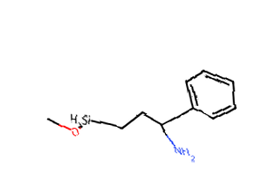 CO[SiH2]CCC(N)c1ccccc1